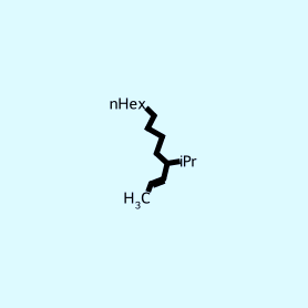 C/C=C/C(CCCCCCCCCC)C(C)C